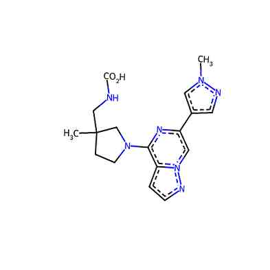 Cn1cc(-c2cn3nccc3c(N3CCC(C)(CNC(=O)O)C3)n2)cn1